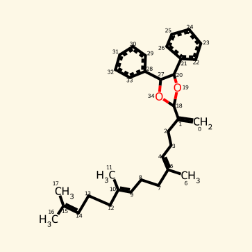 C=C(CC/C=C(\C)CC/C=C(\C)CCC=C(C)C)C1OC(c2ccccc2)C(c2ccccc2)O1